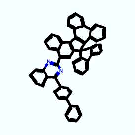 c1ccc(-c2ccc(-c3nc(-c4cc5c(c6ccccc46)-c4c(c6ccccc6c6ccccc46)C54c5ccccc5-c5ccccc54)nc4ccccc34)cc2)cc1